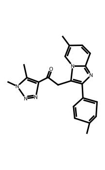 Cc1ccc(-c2nc3ccc(C)cn3c2CC(=O)c2nnn(C)c2C)cc1